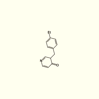 CCc1ccc(CC2C=NC=CC2=O)cc1